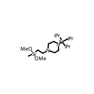 CO[Si](C)(CCN1CCN([Si](C(C)C)(C(C)C)C(C)C)CC1)OC